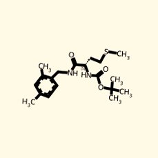 CSCC[C@H](NC(=O)OC(C)(C)C)C(=O)NCc1ccc(C)cc1C